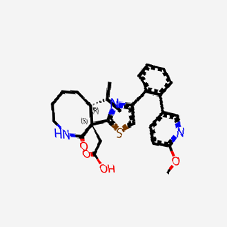 COc1ccc(-c2ccccc2-c2csc([C@]3(CC(=O)O)C(=O)NCCCC[C@@H]3C(C)C)n2)cn1